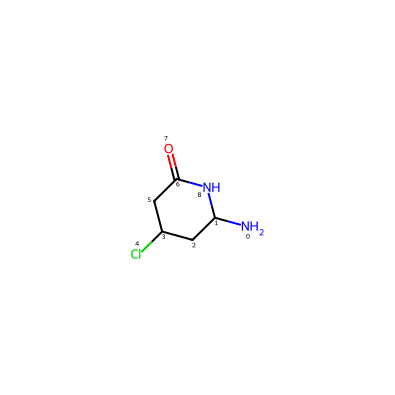 NC1CC(Cl)CC(=O)N1